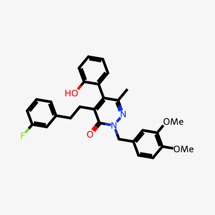 COc1ccc(Cn2nc(C)c(-c3ccccc3O)c(CCc3cccc(F)c3)c2=O)cc1OC